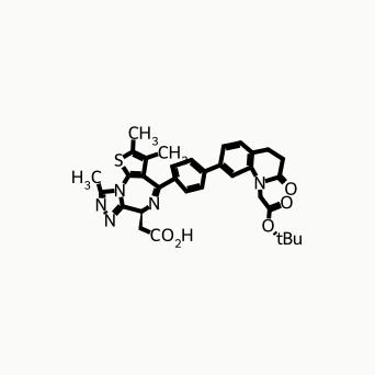 Cc1sc2c(c1C)C(c1ccc(-c3ccc4c(c3)N(CC(=O)OC(C)(C)C)C(=O)CC4)cc1)=N[C@@H](CC(=O)O)c1nnc(C)n1-2